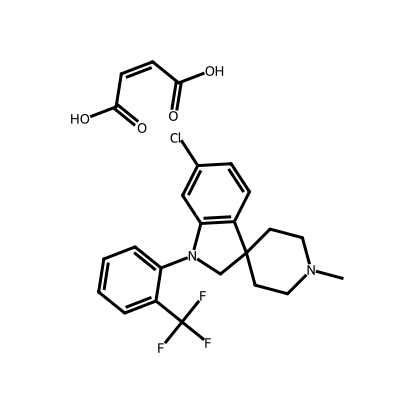 CN1CCC2(CC1)CN(c1ccccc1C(F)(F)F)c1cc(Cl)ccc12.O=C(O)/C=C\C(=O)O